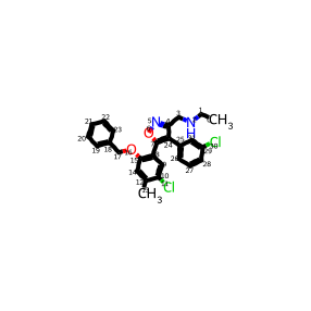 CCNCc1noc(-c2cc(Cl)c(C)cc2OCc2ccccc2)c1-c1cccc(Cl)c1